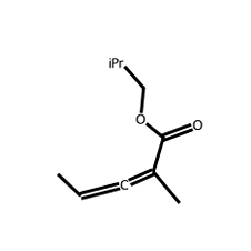 CC=C=C(C)C(=O)OCC(C)C